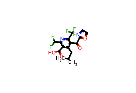 CC(C)Cc1c(C(=O)O)c(C(F)F)nc(C(F)(F)F)c1C(=O)c1ncco1